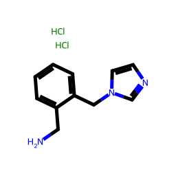 Cl.Cl.NCc1ccccc1Cn1ccnc1